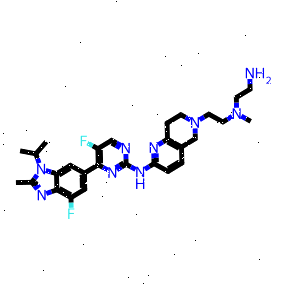 Cc1nc2c(F)cc(-c3nc(Nc4ccc5c(n4)CCN(CCN(C)CCN)C5)ncc3F)cc2n1C(C)C